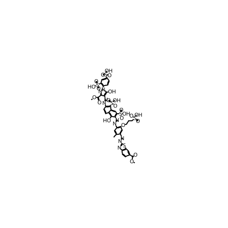 COC(=O)c1ccc2nc(N=Nc3cc(OCCCS(=O)(=O)O)c(N=Nc4c(S(=O)(=O)O)cc5c(S(=O)(=O)O)c(N=Nc6c(C(=O)OC)nn(-c7ccc(S(=O)(=O)O)cc7S(=O)(=O)O)c6O)ccc5c4O)cc3C)sc2c1